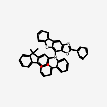 CC1(C)c2ccccc2-c2ccc(N(c3ccccc3-c3ccccc3)c3c4oc(-c5ccccc5)nc4cc4c3oc3ccccc34)cc21